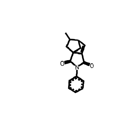 CC1CC23CC1C=C2C(=O)N(c1ccccc1)C3=O